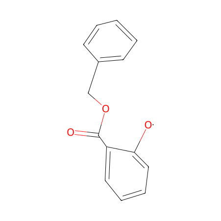 [O]c1ccccc1C(=O)OCc1ccccc1